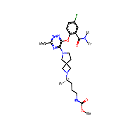 CCN(C(=O)c1cc(F)ccc1Oc1nnc(NC)nc1N1CCC2(C1)CN([C@H](CCCNC(=O)OC(C)(C)C)C(C)C)C2)C(C)C